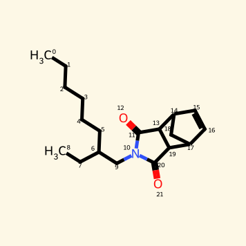 CCCCCCC(CC)CN1C(=O)C2C3C=CC(C3)C2C1=O